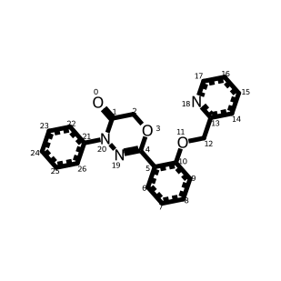 O=C1COC(c2ccccc2OCc2ccccn2)=NN1c1ccccc1